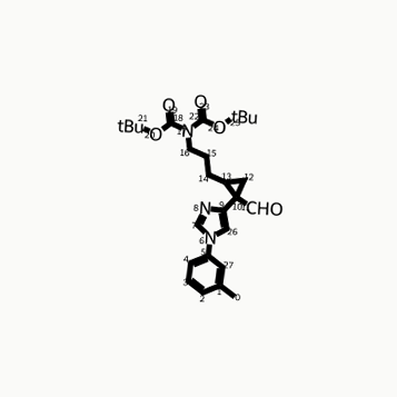 Cc1cccc(-n2cnc(C3(C=O)CC3CCCN(C(=O)OC(C)(C)C)C(=O)OC(C)(C)C)c2)c1